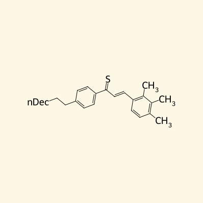 CCCCCCCCCCCCc1ccc(C(=S)C=Cc2ccc(C)c(C)c2C)cc1